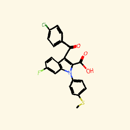 CSc1ccc(-n2c(C(=O)O)c(C(=O)c3ccc(Cl)cc3)c3ccc(F)cc32)cc1